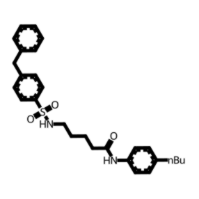 CCCCc1ccc(NC(=O)CCCCNS(=O)(=O)c2ccc(Cc3ccccc3)cc2)cc1